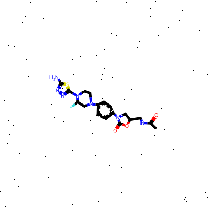 CC(=O)NCC1CN(c2ccc(N3CCN(c4nnc(N)s4)C(F)C3)cc2)C(=O)O1